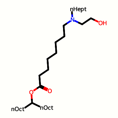 CCCCCCCCC(CCCCCCCC)OC(=O)CCCCCCCN(CCO)CCCCCCC